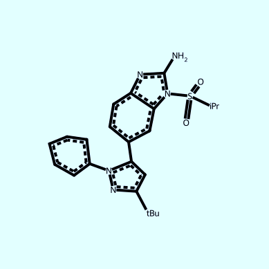 CC(C)S(=O)(=O)n1c(N)nc2ccc(-c3cc(C(C)(C)C)nn3-c3ccccc3)cc21